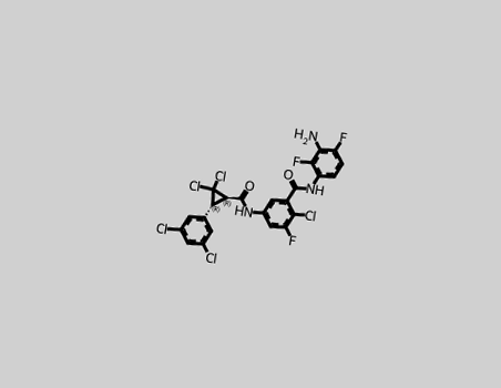 Nc1c(F)ccc(NC(=O)c2cc(NC(=O)[C@H]3[C@H](c4cc(Cl)cc(Cl)c4)C3(Cl)Cl)cc(F)c2Cl)c1F